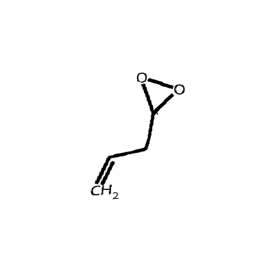 C=CC[C]1OO1